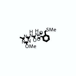 COc1nc(C)nc(NC(=O)NS(=O)(=O)c2ccccc2CSC)n1